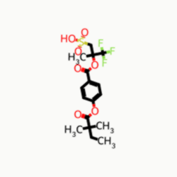 CCC(C)(C)C(=O)Oc1ccc(C(=O)OC(C)(CS(=O)(=O)O)C(F)(F)F)cc1